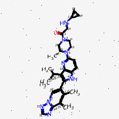 Cc1c(-c2[nH]c3ccc(N4CCN(C(=O)CNC5CC5)C[C@H]4C)nc3c2C(C)C)cn2ncnc2c1C